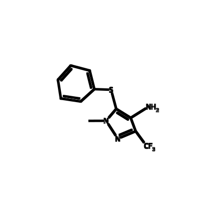 Cn1nc(C(F)(F)F)c(N)c1Sc1ccccc1